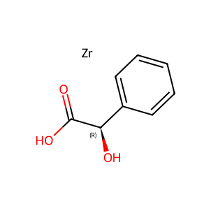 O=C(O)[C@H](O)c1ccccc1.[Zr]